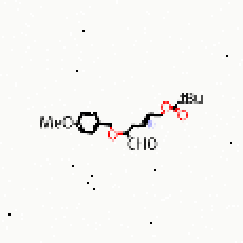 COc1ccc(COC(C=O)C/C=C/COC(=O)C(C)(C)C)cc1